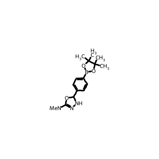 CNC1=NNC(c2ccc(B3OC(C)(C)C(C)(C)O3)cc2)O1